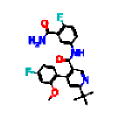 COc1cc(F)ccc1-c1cc(C(C)(C)C)ncc1C(=O)Nc1ccc(F)c(C(N)=O)c1